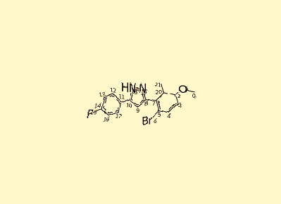 COC1C=CC(Br)=C(c2cc(-c3ccc(F)cc3)[nH]n2)C1C